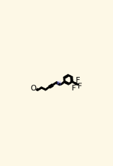 O=CCCC#C/C=C/c1cccc(C(F)(F)F)c1